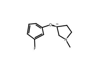 CN1CC[C@H](Oc2cccc(F)c2)C1